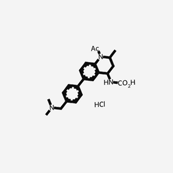 CC(=O)N1c2ccc(-c3ccc(CN(C)C)cc3)cc2C(NC(=O)O)CC1C.Cl